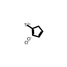 [Cl-].[Cl-].[Ti+2][C]1=CC=CC1